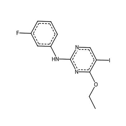 CCOc1nc(Nc2cccc(F)c2)ncc1I